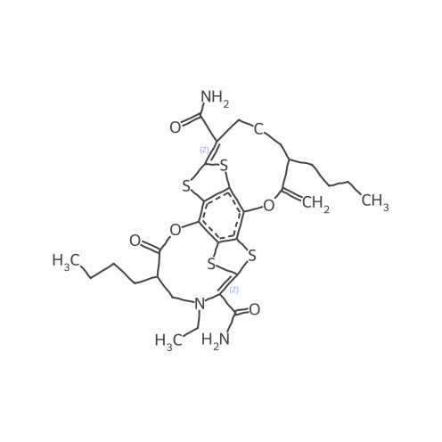 C=C1Oc2c3c(c4c5c2S/C(=C(\C(N)=O)N(CC)CC(CCCC)C(=O)O4)S5)S/C(=C(\C(N)=O)CCCC1CCCC)S3